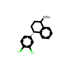 CNC1CC[C@@H](c2ccc(Cl)c(Cl)c2)c2ccccc21